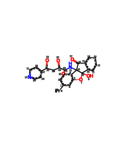 CC(C)c1ccc2c(c1)OC1(O)c3ccccc3C(=O)C21NC(=O)C(=O)CC(=O)c1ccncc1